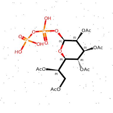 CC(=O)OC[C@@H](OC(C)=O)[C@H]1O[C@@H](OP(=O)(O)OP(=O)(O)O)[C@@H](OC(C)=O)[C@@H](OC(C)=O)[C@@H]1OC(C)=O